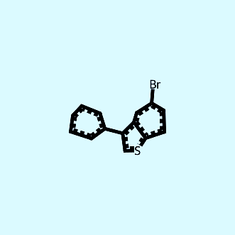 Brc1ccc2scc(-c3ccccc3)c2c1